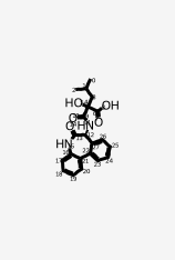 CC(C)CC(O)(C(=O)O)C(=O)N[C@@H]1C(=O)Nc2ccccc2-c2ccccc21